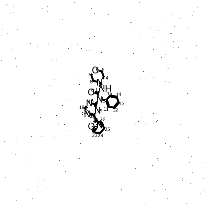 O=C(NN1CCOCC1)N(c1ccccc1)c1ncnc(N2CC3CCC2CO3)n1